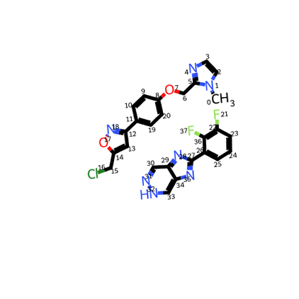 Cn1ccnc1COc1ccc(-c2cc(CCl)on2)cc1.Fc1cccc(-c2nc3cn[nH]cc-3n2)c1F